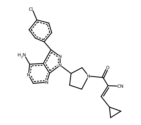 N#CC(=CC1CC1)C(=O)N1CCC(n2nc(-c3ccc(Cl)cc3)c3c(N)ncnc32)C1